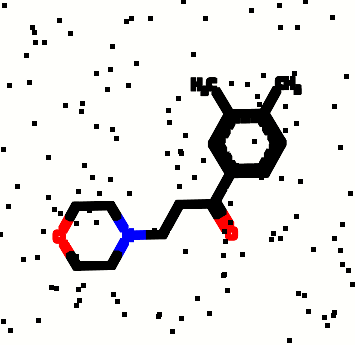 Cc1ccc(C(=O)CCN2CCOCC2)cc1C